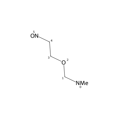 CNCOCCN=O